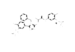 CCN(CC)S(=O)(=O)c1cc(NC(=O)C(C)Sc2nnc(-c3ccc(N)c(S(=O)(=O)N(CC)CC)c3)n2Cc2ccccc2)ccc1C